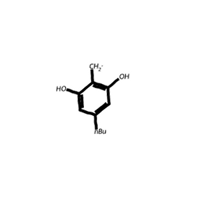 [CH2]c1c(O)cc(CCCC)cc1O